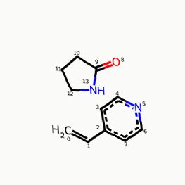 C=Cc1ccncc1.O=C1CCCN1